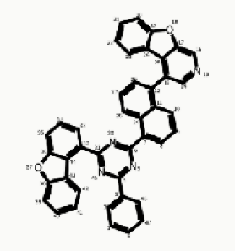 c1ccc(-c2nc(-c3cccc4c(-c5cncc6oc7ccccc7c56)cccc34)nc(-c3cccc4oc5ccccc5c34)n2)cc1